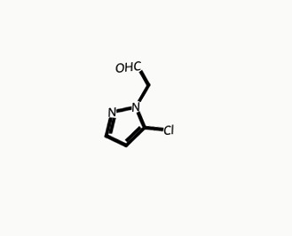 O=CCn1nccc1Cl